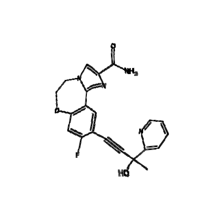 CC(O)(C#Cc1cc2c(cc1F)OCCn1cc(C(N)=O)nc1-2)c1ccccn1